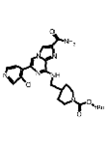 CC(C)(C)OC(=O)N1CCC(CNc2nc(-c3ccncc3Cl)cn3cc(C(N)=O)nc23)CC1